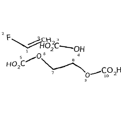 C=CF.O=C(O)O.O=C(O)OCCOC(=O)O